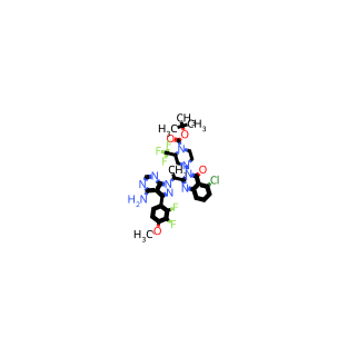 COc1ccc(-c2nn(C(C)c3nc4cccc(Cl)c4c(=O)n3N3CCN(C(=O)OC(C)(C)C)C(C(F)(F)F)C3)c3ncnc(N)c23)c(F)c1F